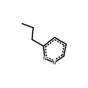 CC[CH]c1cccnn1